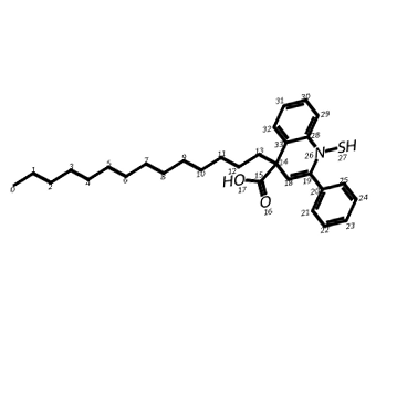 CCCCCCCCCCCCCCC1(C(=O)O)C=C(c2ccccc2)N(S)c2ccccc21